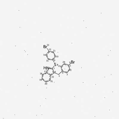 Brc1ccc(Cc2c(Sc3ccc(Br)cc3)[nH]c3ccccc23)cc1